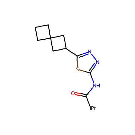 CC(C)C(=O)Nc1nnc(C2CC3(CCC3)C2)s1